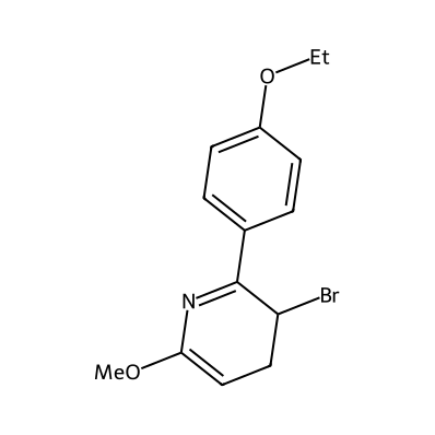 CCOc1ccc(C2=NC(OC)=CCC2Br)cc1